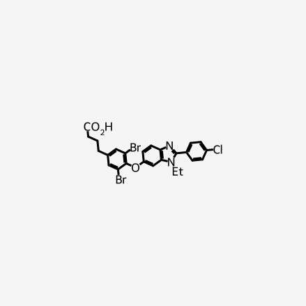 CCn1c(-c2ccc(Cl)cc2)nc2ccc(Oc3c(Br)cc(CCCC(=O)O)cc3Br)cc21